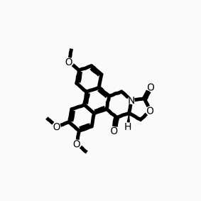 COc1ccc2c3c(c4cc(OC)c(OC)cc4c2c1)C(=O)[C@H]1COC(=O)N1C3